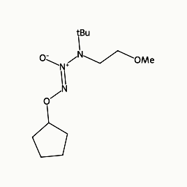 COCCN(/[N+]([O-])=N/OC1CCCC1)C(C)(C)C